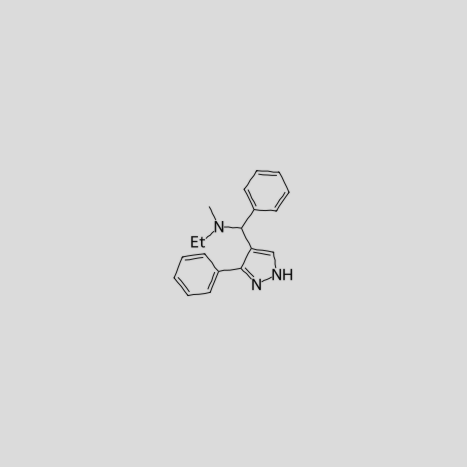 CCN(C)C(c1ccccc1)c1c[nH]nc1-c1ccccc1